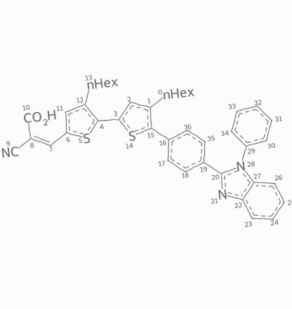 CCCCCCc1cc(-c2sc(/C=C(/C#N)C(=O)O)cc2CCCCCC)sc1-c1ccc(-c2nc3ccccc3n2-c2ccccc2)cc1